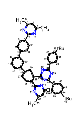 Cc1cc(C)nc(-c2ccc(-c3cccc(-c4ccc(-c5nc(C)cc(C)n5)c(-c5nc(-c6ccc(C(C)(C)C)cc6)nc(-c6ccc(C(C)(C)C)cc6)n5)c4)c3)cc2)n1